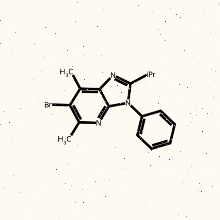 Cc1nc2c(nc(C(C)C)n2-c2c[c]ccc2)c(C)c1Br